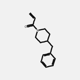 C=CC(=O)N1CCC(Cc2ccccc2)CC1